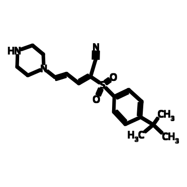 CC(C)(C)c1ccc(S(=O)(=O)C(C#N)=CC=CN2CCNCC2)cc1